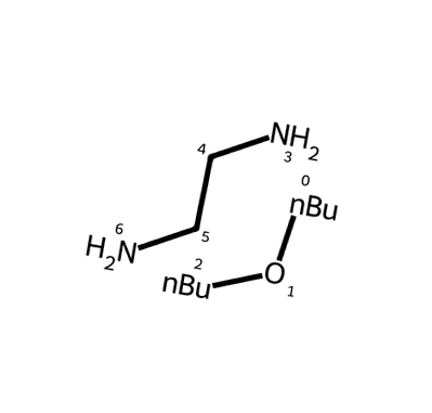 CCCCOCCCC.NCCN